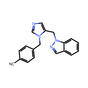 N#Cc1ccc(Cn2cncc2Cn2ncc3ccccc32)cc1